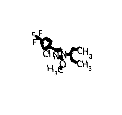 CCC(CC)n1cc(-c2ccc(C(F)(F)F)cc2Cl)nc1OC